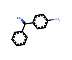 N=C(c1ccccc1)c1ccc(N)cc1